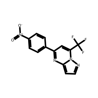 O=[N+]([O-])c1ccc(-c2cc(C(F)(F)F)n3nccc3n2)cc1